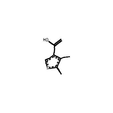 C=C(O)c1csc(C)c1C